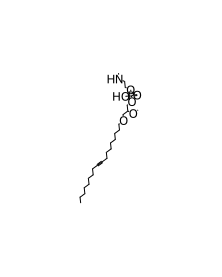 CCCCCCCCC#CCCCCCCCCOCC(COP(=O)(O)OCCNC)OC